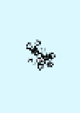 CC1(C)c2ccccc2-c2c1c(Nc1ccc(CN(Cc3ccccc3)N(N)Cc3ccccc3)cc1)c(-c1ccccc1)c1ccccc21